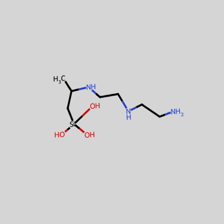 CC(C[Si](O)(O)O)NCCNCCN